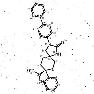 CN(C)[C@]1(c2ccccc2)CC[C@@]2(CC1)CN(c1cnc(-c3ccccn3)nc1)C(=O)N2